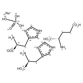 N[C@@H](CCC(=O)O)C(=O)O.N[C@@H](Cc1c[nH]cn1)C(=O)O.N[C@@H](Cc1c[nH]cn1)C(=O)[O-].O=P(O)(O)O.[Na+]